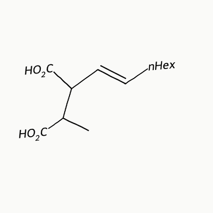 CCCCCCC=CC(C(=O)O)C(C)C(=O)O